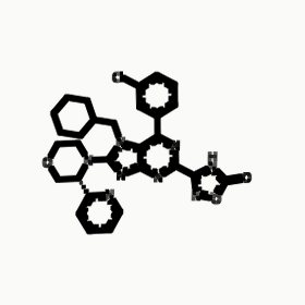 O=c1[nH]c(-c2nc(-c3cccc(Cl)c3)c3c(n2)nc(N2CCOC[C@H]2c2ccccn2)n3CC2CCCCC2)no1